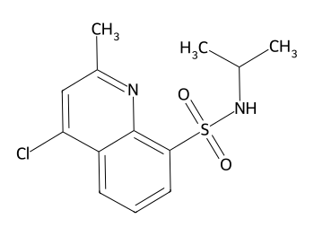 Cc1cc(Cl)c2cccc(S(=O)(=O)NC(C)C)c2n1